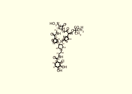 CC(C)(O/N=C(\C(=O)NC1C(=O)N(S(=O)(=O)O)[C@H]1CNC(=O)c1cc([C@@H]2CCN(CCNC(=O)c3ccc(O)c(O)c3Cl)C2)no1)c1csc(N)n1)C(=O)O